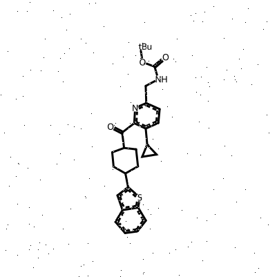 CC(C)(C)OC(=O)NCc1ccc(C2CC2)c(C(=O)C2CCC(c3cc4ccccc4s3)CC2)n1